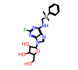 C[Si](C)(CNc1nc(F)nc2c1ncn2C1OC(CO)C(O)C1O)c1ccccc1